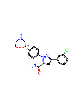 NC(=O)c1cc(-c2cccc(Cl)c2)nn1-c1ccc([C@H]2CNCCO2)cc1